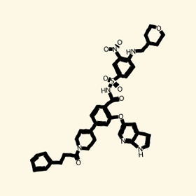 O=C(NS(=O)(=O)c1ccc(NCC2CCOCC2)c([N+](=O)[O-])c1)c1ccc(C2=CCN(C(=O)CCc3ccccc3)CC2)cc1Oc1cnc2[nH]ccc2c1